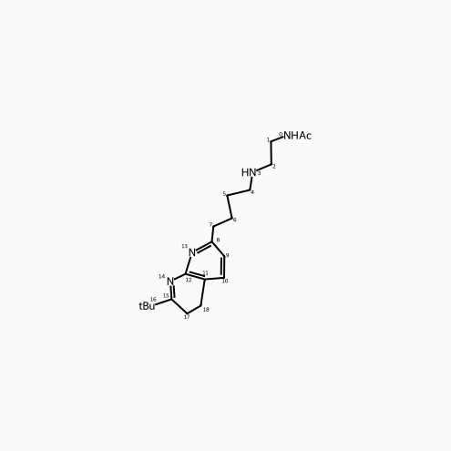 CC(=O)NCCNCCCCc1ccc2c(n1)N=C(C(C)(C)C)CC2